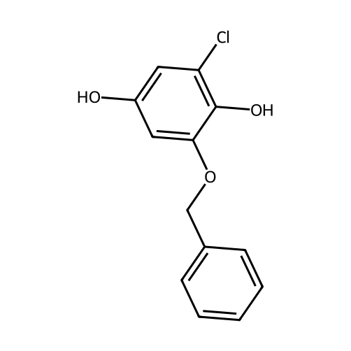 Oc1cc(Cl)c(O)c(OCc2ccccc2)c1